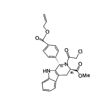 C=CCOC(=O)c1ccc([C@H]2c3[nH]c4ccccc4c3C[C@H](C(=O)OC)N2C(=O)CCl)cc1